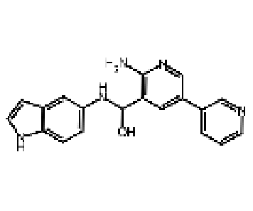 Nc1ncc(-c2cccnc2)cc1C(O)Nc1ccc2[nH]ccc2c1